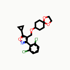 Clc1cccc(Cl)c1-c1noc(C2CC2)c1COC1CCC2(CC1)OCCO2